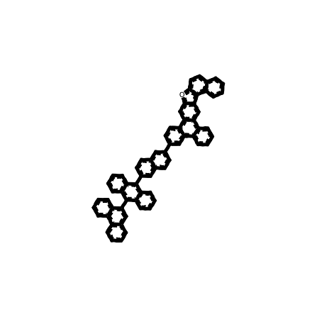 c1ccc2c(c1)cc(-c1c3ccccc3c(-c3ccc4cc(-c5ccc6c(c5)c5ccccc5c5cc7c(cc65)oc5ccc6ccccc6c57)ccc4c3)c3ccccc13)c1ccccc12